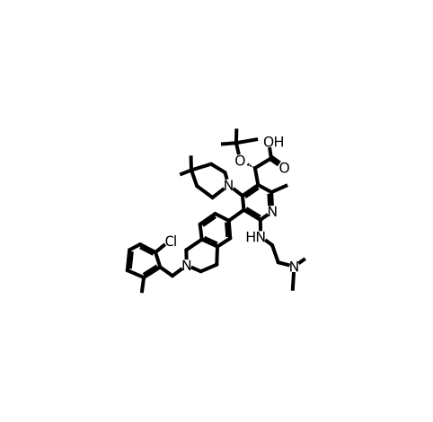 Cc1cccc(Cl)c1CN1CCc2cc(-c3c(NCCN(C)C)nc(C)c([C@H](OC(C)(C)C)C(=O)O)c3N3CCC(C)(C)CC3)ccc2C1